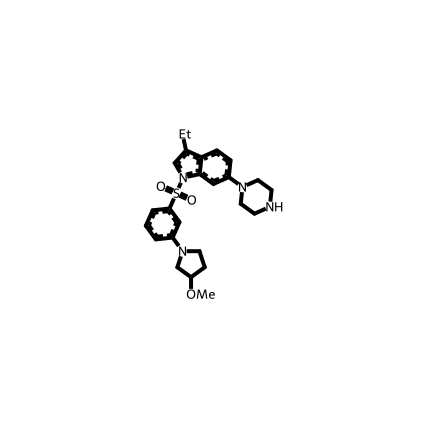 CCc1cn(S(=O)(=O)c2cccc(N3CCC(OC)C3)c2)c2cc(N3CCNCC3)ccc12